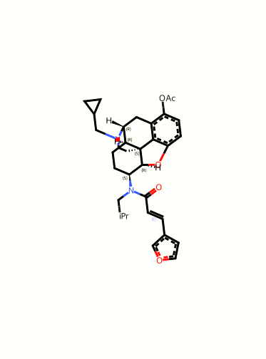 CC(=O)Oc1ccc2c3c1C[C@@H]1[C@@H]4CC[C@H](N(CC(C)C)C(=O)/C=C/c5ccoc5)[C@H](O2)[C@]34CCN1CC1CC1